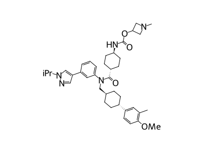 COc1ccc([C@H]2CC[C@H](CN(c3cccc(-c4cnn(C(C)C)c4)c3)C(=O)[C@H]3CC[C@H](NC(=O)OC4CN(C)C4)CC3)CC2)cc1C